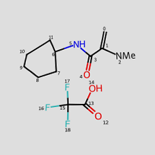 C=C(NC)C(=O)NC1CCCCC1.O=C(O)C(F)(F)F